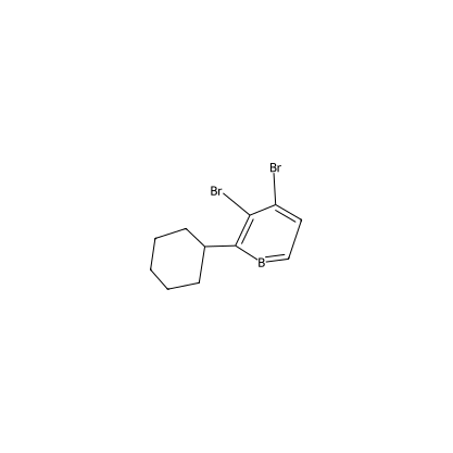 Brc1ccbc(C2CCCCC2)c1Br